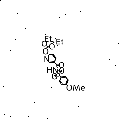 CCC(CC)OC(=O)Oc1ccc(C(=O)NS(=O)(=O)c2ccc(OC)cc2)cn1